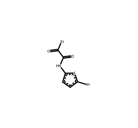 CCC(=O)C(=O)Nc1ccc(C(C)C)s1